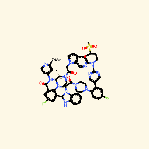 COc1cc(NC(=O)c2cc(F)cc(C3Nc4ccccc4N3CC(=O)N3CCN(c4ccc(F)cc4-c4cnc(N5CCC(S(C)(=O)=O)CC5)nc4)CC3)c2N2CCN(C(=O)Cn3ccc4ccncc43)[C@@H](C)C2)ccn1